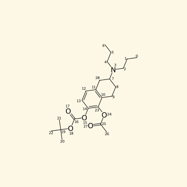 CCCN(CCC)C1CCc2c(ccc(OC(=O)OC(C)(C)C)c2OC(C)=O)C1